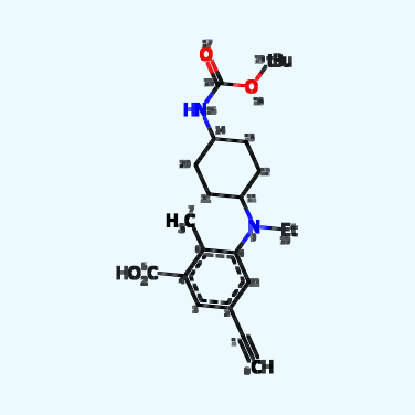 C#Cc1cc(C(=O)O)c(C)c(N(CC)C2CCC(NC(=O)OC(C)(C)C)CC2)c1